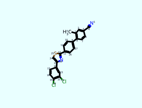 Cc1cc(C#N)ccc1-c1ccc(-c2nc(-c3ccc(Cl)c(Cl)c3)cs2)cc1